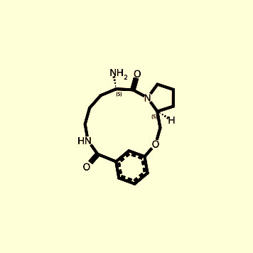 N[C@H]1CCCNC(=O)c2cccc(c2)OC[C@@H]2CCCN2C1=O